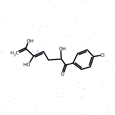 C=C(O)/C(O)=C/CC(O)C(=O)c1ccc(Cl)cc1